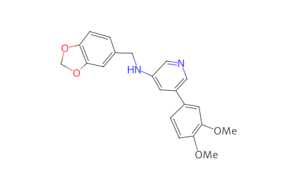 COc1ccc(-c2cncc(NCc3ccc4c(c3)OCO4)c2)cc1OC